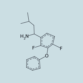 CC(C)CC(N)c1ccc(F)c(Oc2ccccc2)c1F